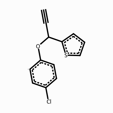 C#CC(Oc1[c]cc(Cl)cc1)c1cccs1